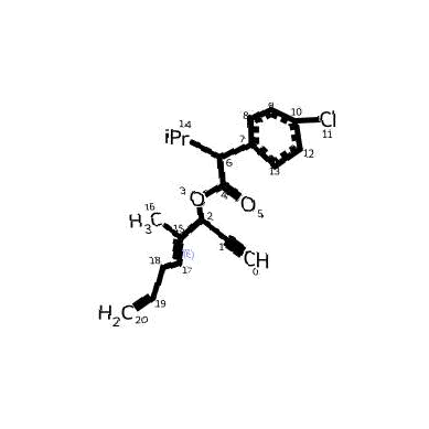 C#CC(OC(=O)C(c1ccc(Cl)cc1)C(C)C)/C(C)=C/CC=C